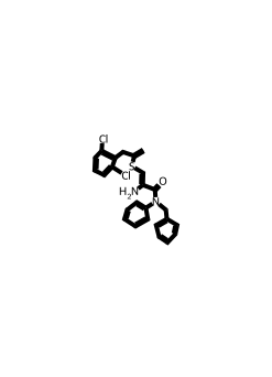 C=C(Cc1c(Cl)cccc1Cl)S/C=C(\N)C(=O)N(Cc1ccccc1)c1ccccc1